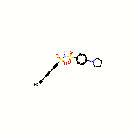 C#CC#CC#CS(=O)(=O)NS(=O)(=O)c1ccc(N2CCCC2)cc1